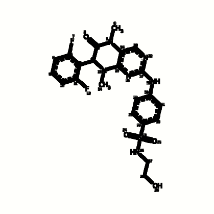 CN1C(=O)C(c2c(F)cccc2F)N(C)c2nc(Nc3ccc(S(=O)(=O)NCCO)cc3)ncc21